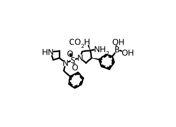 N[C@@]1(C(=O)O)CN(S(=O)(=O)N(Cc2ccccc2)C2CNC2)C[C@@H]1c1cccc(B(O)O)c1